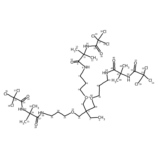 CCC(COCCCNC(=O)C(C)(C)NC(=O)C(Cl)(Cl)Cl)(COCCCNC(=O)C(C)(C)NC(=O)C(Cl)(Cl)Cl)COCCCNC(=O)C(C)(C)NC(=O)C(Cl)(Cl)Cl